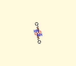 O=C(NSSCc1ccccc1)C(=O)NSSCc1ccccc1